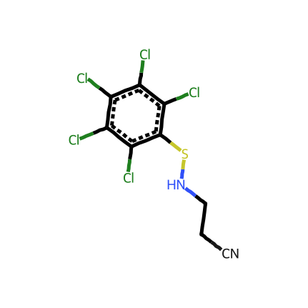 N#CCCNSc1c(Cl)c(Cl)c(Cl)c(Cl)c1Cl